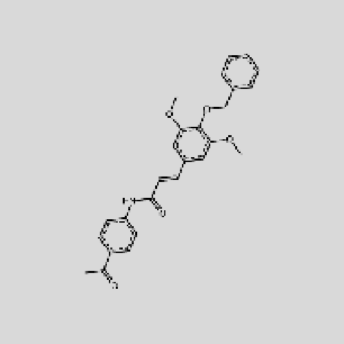 COc1cc(C=CC(=O)Nc2ccc(C(C)=O)cc2)cc(OC)c1OCc1ccccc1